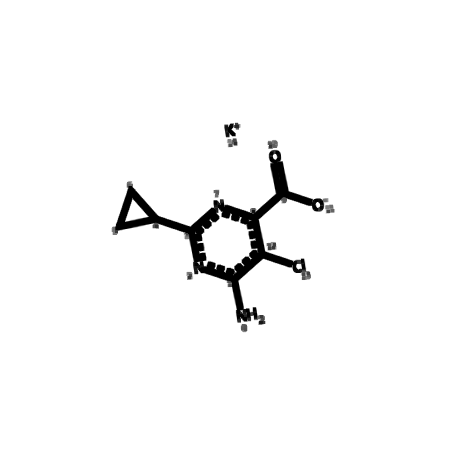 Nc1nc(C2CC2)nc(C(=O)[O-])c1Cl.[K+]